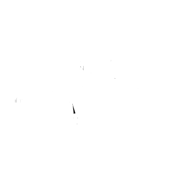 CC(C)SC[C@H](O)C(N)CC1CCCCC1